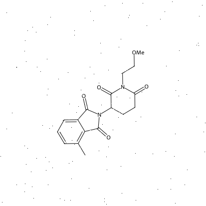 COCCN1C(=O)CCC(N2C(=O)c3cccc(C)c3C2=O)C1=O